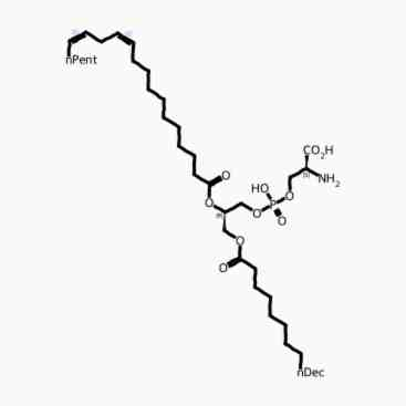 CCCCC/C=C\C/C=C\CCCCCCCCCC(=O)O[C@H](COC(=O)CCCCCCCCCCCCCCCCC)COP(=O)(O)OC[C@H](N)C(=O)O